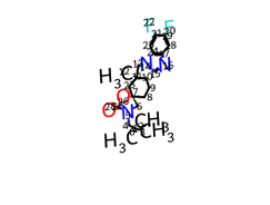 CC(C)(C)CN1C[C@@]2(CCC[C@](C)(Cn3cnc4cc(F)c(F)cc43)C2)OC1=O